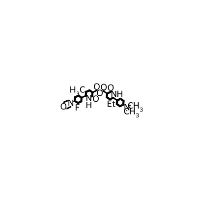 CCc1cc(C(=O)OC(=O)c2cc(C)c(-c3ccc(N4CCOCC4)c(F)c3)[nH]c2=O)c(=O)[nH]c1-c1ccc(N(C)C)cc1